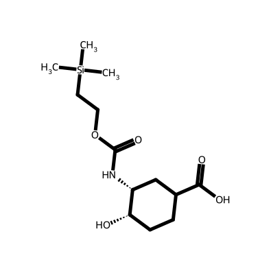 C[Si](C)(C)CCOC(=O)N[C@@H]1CC(C(=O)O)CC[C@@H]1O